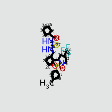 Cc1ccc(S(=O)(=O)N2CCC(C(F)(F)F)CC2c2ccccc2CNC(=S)NC(=O)c2ccccc2)cc1